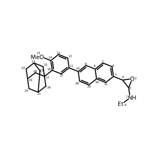 CCNC1OC1c1ccc2cc(-c3ccc(OC)c(C45CC6CC(CC(C6)C4)C5)c3)ccc2c1